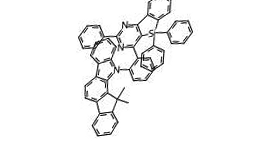 CC1(C)c2ccccc2-c2ccc3c4ccccc4n(-c4ccccc4-c4nc(-c5ccccc5)nc5c4[Si](c4ccccc4)(c4ccccc4)c4ccccc4-5)c3c21